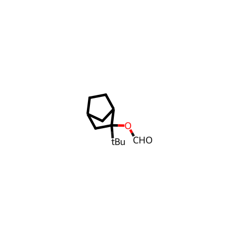 CC(C)(C)C1(OC=O)CC2CCC1C2